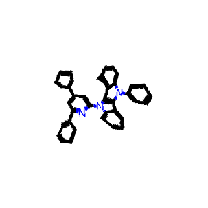 c1ccc(-c2cc(-c3ccccc3)nc(-n3c4ccccc4c4c3c3ccccc3n4-c3ccccc3)c2)cc1